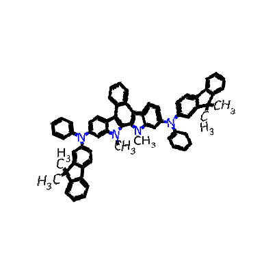 Cn1c2cc(N(C3=CC=CCC3)c3ccc4c(c3)C(C)(C)c3ccccc3-4)ccc2c2c3ccccc3c3c4ccc(N(c5ccccc5)c5ccc6c(c5)C(C)(C)c5ccccc5-6)cc4n(C)c3c21